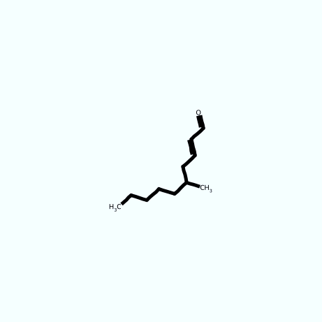 CCCCCC(C)CC=CC=O